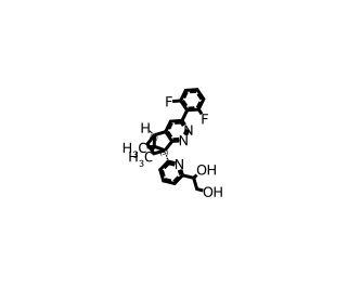 CC1(C)[C@H]2CC[C@]1(c1cccc(C(O)CO)n1)c1nnc(-c3c(F)cccc3F)cc12